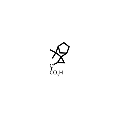 CC1(C)C2CCC(C2)C12CC2OC(=O)O